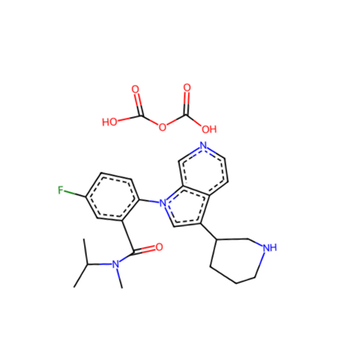 CC(C)N(C)C(=O)c1cc(F)ccc1-n1cc(C2CCCNC2)c2ccncc21.O=C(O)OC(=O)O